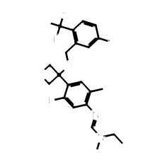 CCN(C)C=Nc1cc(F)c(C2(OCc3cc(F)ccc3C(F)(F)F)COC2)cc1C